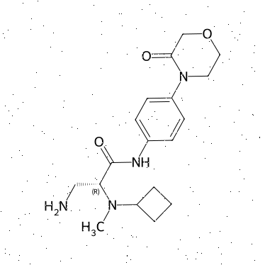 CN(C1CCC1)[C@H](CN)C(=O)Nc1ccc(N2CCOCC2=O)cc1